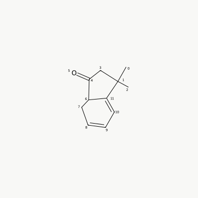 CC1(C)CC(=O)C2CC=CC=C21